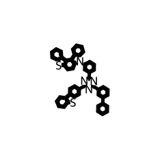 c1ccc(-c2cccc(-c3nc(-c4cccc(-n5c6ccccc6c6c7c(ccc65)sc5ccccc57)c4)nc(-c4ccc5c(c4)sc4ccccc45)n3)c2)cc1